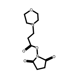 O=C(CCN1CCOCC1)ON1C(=O)CCC1=O